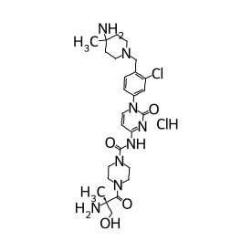 CC1(N)CCN(Cc2ccc(-n3ccc(NC(=O)N4CCN(C(=O)[C@@](C)(N)CO)CC4)nc3=O)cc2Cl)CC1.Cl